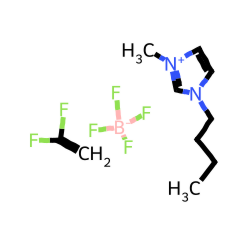 C=C(F)F.CCCCn1cc[n+](C)c1.F[B-](F)(F)F